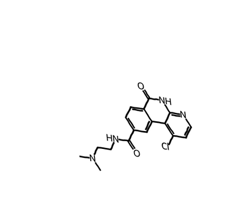 CN(C)CCNC(=O)c1ccc2c(=O)[nH]c3nccc(Cl)c3c2c1